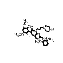 COc1cc(OC)c(Cl)c(-c2cc3cnc(Nc4c(C)cccc4N)nc3n(CCCN3CCNCC3)c2=O)c1Cl